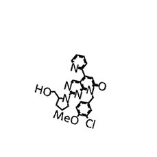 COc1ccc(Cn2c(=O)cc(-c3ccccn3)c3cnc(N4CCCC4CO)nc32)cc1Cl